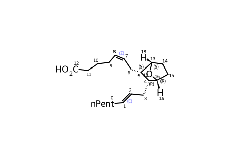 CCCCC/C=C/C[C@@H]1[C@H](C/C=C\CCCC(=O)O)[C@@H]2CC[C@H]1O2